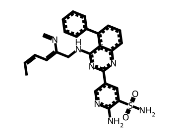 C=N/C(=C\C=C/C)CNc1nc(-c2cnc(N)c(S(N)(=O)=O)c2)nc2cccc(-c3ccccc3)c12